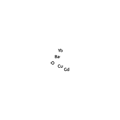 [Ba].[Cu].[Gd].[O].[Yb]